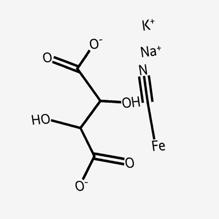 N#[C][Fe].O=C([O-])C(O)C(O)C(=O)[O-].[K+].[Na+]